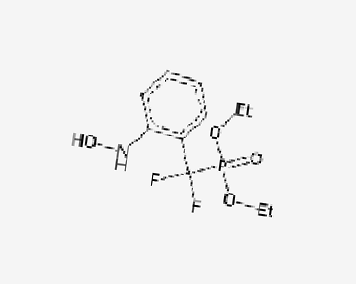 CCOP(=O)(OCC)C(F)(F)c1ccccc1NO